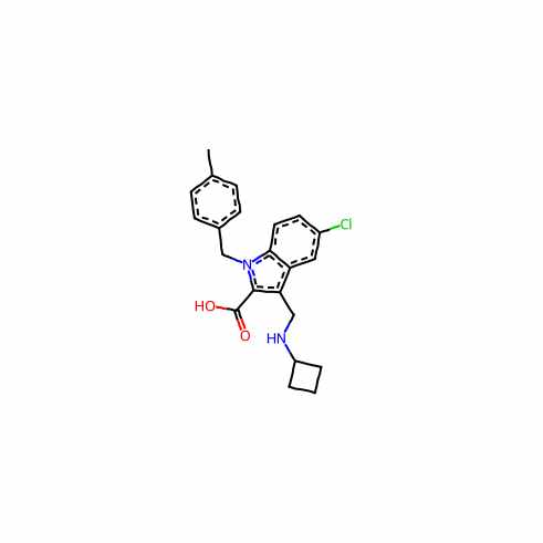 Cc1ccc(Cn2c(C(=O)O)c(CNC3CCC3)c3cc(Cl)ccc32)cc1